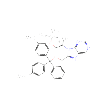 COc1ccc(C(OCc2nc3cncnc3n2C(C)CO[Si](C)(C)C(C)(C)C)(c2ccccc2)c2ccc(OC)cc2)cc1